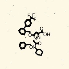 O=C(O)c1cc(OCc2ccccc2-c2ccc(C(F)(F)F)cc2)n(CC(=O)N(OCc2ccccc2)C2CCCCC2)n1